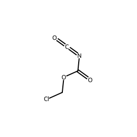 O=C=NC(=O)OCCl